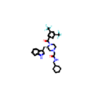 O=C(CN1CCN(C(=O)c2cc(C(F)(F)F)cc(C(F)(F)F)c2)[C@H](Cc2c[nH]c3ccccc23)C1)NCC1CCCCC1